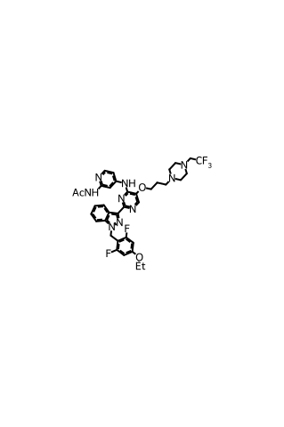 CCOc1cc(F)c(Cn2nc(-c3ncc(OCCCN4CCN(CC(F)(F)F)CC4)c(Nc4ccnc(NC(C)=O)c4)n3)c3ccccc32)c(F)c1